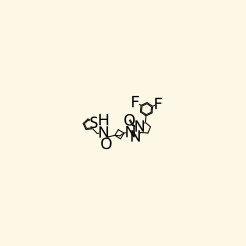 O=C(NCc1cccs1)C12CC(n3nc4n(c3=O)C(c3cc(F)cc(F)c3)CC4)(C1)C2